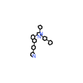 c1ccc(-c2ccc(-c3nc(-c4ccccc4)cc(-c4cccc5cc(-c6ccc(-c7cccnc7)cc6)ccc45)n3)cc2)cc1